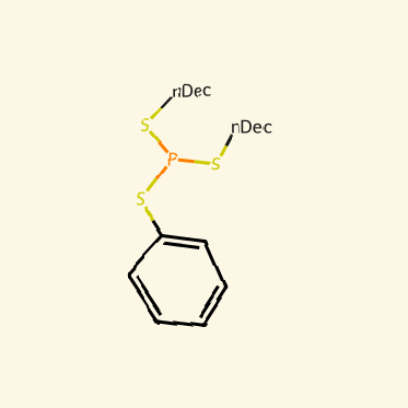 CCCCCCCCCCSP(SCCCCCCCCCC)Sc1ccccc1